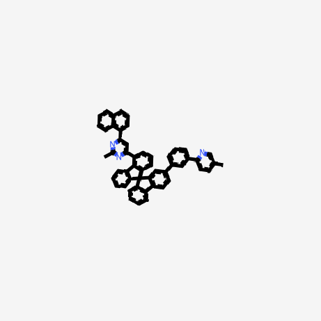 Cc1ccc(-c2cccc(-c3ccc4c(c3)C3(c5ccccc5-4)c4ccccc4-c4c(-c5cc(-c6cccc7ccccc67)nc(C)n5)cccc43)c2)nc1